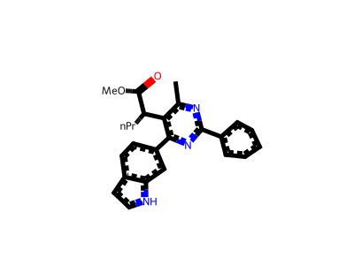 CCCC(C(=O)OC)c1c(C)nc(-c2ccccc2)nc1-c1ccc2cc[nH]c2c1